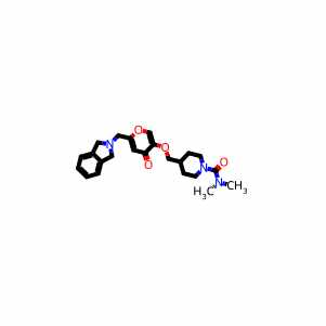 CN(C)C(=O)N1CCC(COc2coc(CN3Cc4ccccc4C3)cc2=O)CC1